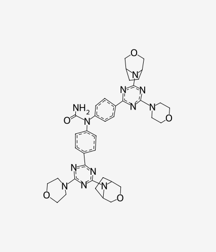 NC(=O)N(c1ccc(-c2nc(N3CCOCC3)nc(N3C4CCC3COC4)n2)cc1)c1ccc(-c2nc(N3CCOCC3)nc(N3C4CCC3COC4)n2)cc1